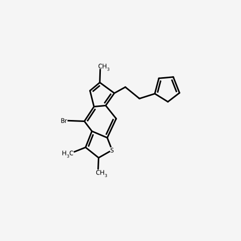 CC1=Cc2c(Br)c3c(cc2=C1CCC1=CC=CC1)SC(C)C=3C